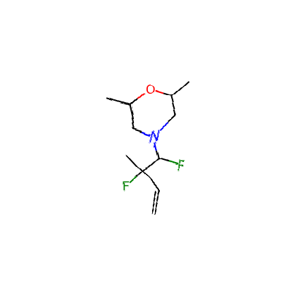 C=CC(C)(F)C(F)N1CC(C)OC(C)C1